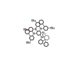 CC(C)(C)c1ccc2c(c1)B1c3ccc(C(C)(C)C)cc3N(c3ccc(C(C)(C)C)cc3-c3ccccc3)c3cc(N4c5ccccc5C5(c6ccccc6)CCCCC45C)cc(c31)N2c1ccc(C(C)(C)C)cc1-c1ccccc1